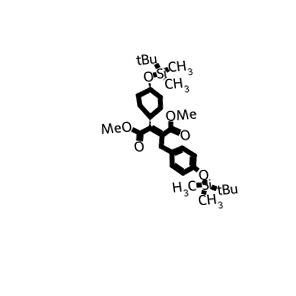 COC(=O)C(Cc1ccc(O[Si](C)(C)C(C)(C)C)cc1)=C(C(=O)OC)[C@H]1CC[C@@H](O[Si](C)(C)C(C)(C)C)CC1